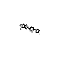 C[C@H]1CCN(c2ccc(-n3cc4c(n3)CNC4=O)nn2)C1